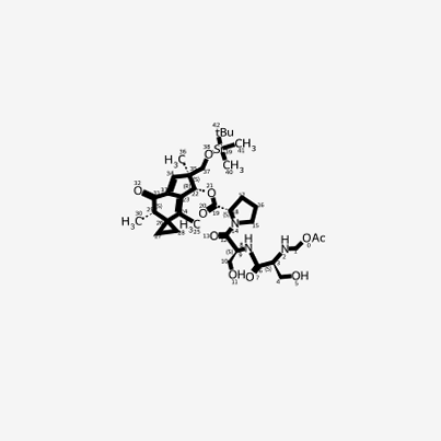 CC(=O)OCN[C@@H](CO)C(=O)N[C@@H](CO)C(=O)N1CCC[C@H]1C(=O)O[C@@H]1C2=C(C)C3(CC3)[C@H](C)C(=O)C2=C[C@@]1(C)CO[Si](C)(C)C(C)(C)C